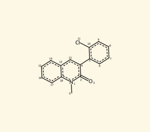 Cn1c(=O)c(-c2ccccc2Cl)cc2ccccc21